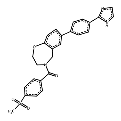 CS(=O)(=O)c1ccc(C(=O)N2CCOc3ccc(-c4ccc(-c5ncc[nH]5)cc4)cc3C2)cc1